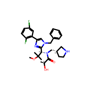 COC(C)(C)[C@H](c1nc(-c2cc(F)ccc2F)cn1Cc1ccccc1)N(C[C@H]1[CH]CNC1)C(=O)[C@H](C)O